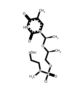 CCCCCCCCCCCCN(C)P(=O)(Cl)OC[C@H](C)O[C@H](C)n1cc(C)c(=O)[nH]c1=O